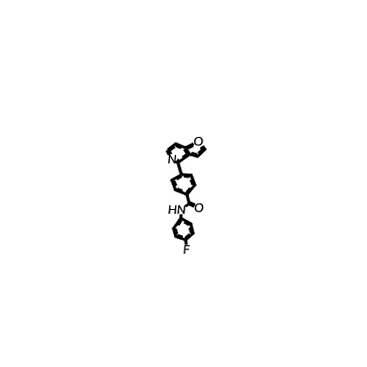 O=C(Nc1ccc(F)cc1)c1ccc(-c2nccc3occc23)cc1